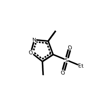 CCS(=O)(=O)c1c(C)noc1C